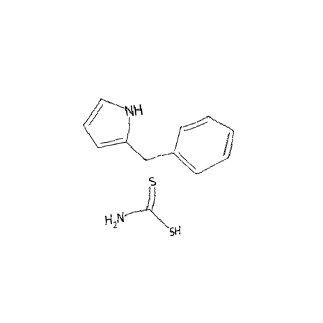 NC(=S)S.c1ccc(Cc2ccc[nH]2)cc1